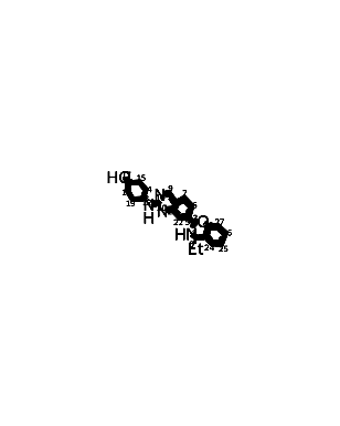 CC[C@@H](NC(=O)c1ccc2cnc(NC3CCC(O)CC3)nc2c1)c1ccccc1